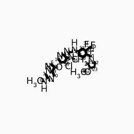 CNc1cn2ncc(Oc3cnc4nc(Nc5ccc(CN6CC[C@@H](OC)C6)c(C(F)(F)F)c5)n(C)c4c3Cl)c2cn1